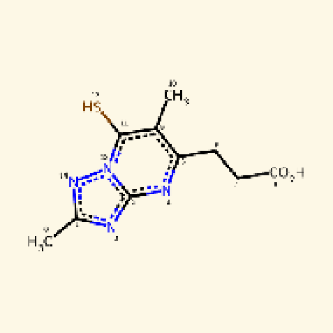 Cc1nc2nc(CCC(=O)O)c(C)c(S)n2n1